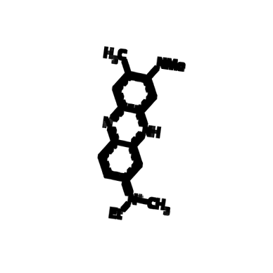 CC/[N+](C)=c1\ccc2nc3cc(C)c(NC)cc3[nH]c-2c1